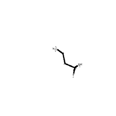 CCCC(F)S